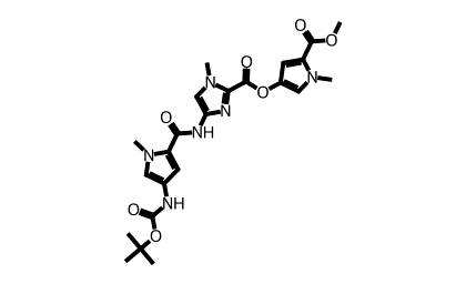 COC(=O)c1cc(OC(=O)c2nc(NC(=O)c3cc(NC(=O)OC(C)(C)C)cn3C)cn2C)cn1C